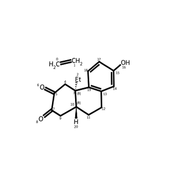 C=C.CC[C@@]12CC(=O)C(=O)C[C@H]1CCc1cc(O)ccc12